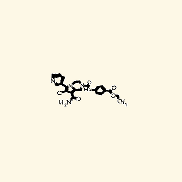 CCOC(=O)c1ccc(NC(=O)N2CCn3c(c(C(N)=O)c(Cl)c3-c3cccnc3)C2)cc1